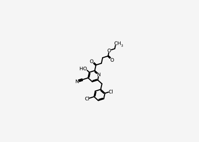 CCOC(=O)CCC(=O)c1nc(Cc2cc(Cl)ccc2Cl)cc(C#N)c1O